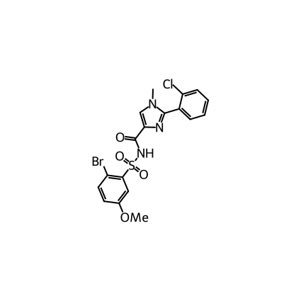 COc1ccc(Br)c(S(=O)(=O)NC(=O)c2cn(C)c(-c3ccccc3Cl)n2)c1